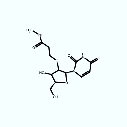 CNC(=O)CCOC1C(O)[C@H](CO)O[C@@H]1n1ccc(=O)[nH]c1=O